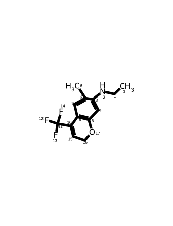 CCNc1cc2c(cc1C)C(C(F)(F)F)=CCO2